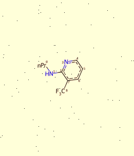 CCCNc1ncccc1C(F)(F)F